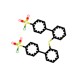 O=S(=O)(Cl)c1ccc(-c2ccccc2Sc2ccccc2-c2ccc(S(=O)(=O)Cl)cc2)cc1